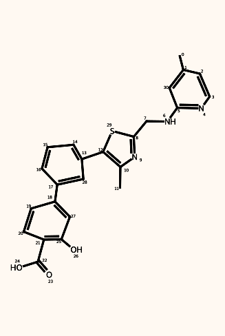 Cc1ccnc(NCc2nc(C)c(-c3cccc(-c4ccc(C(=O)O)c(O)c4)c3)s2)c1